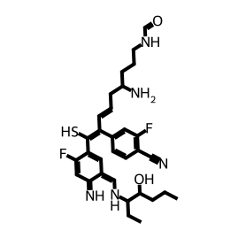 CCCC(O)C(CC)N/C=C1C=C(/C(S)=C(/C=C/CC(N)CCCNC=O)c2ccc(C#N)c(F)c2)C(F)=CC/1=N